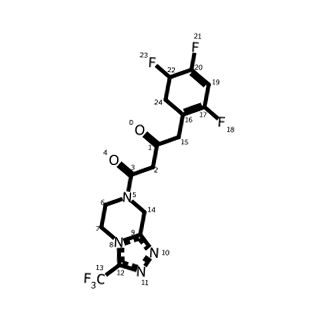 O=C(CC(=O)N1CCn2c(nnc2C(F)(F)F)C1)CC1=C(F)C=C(F)C(F)C1